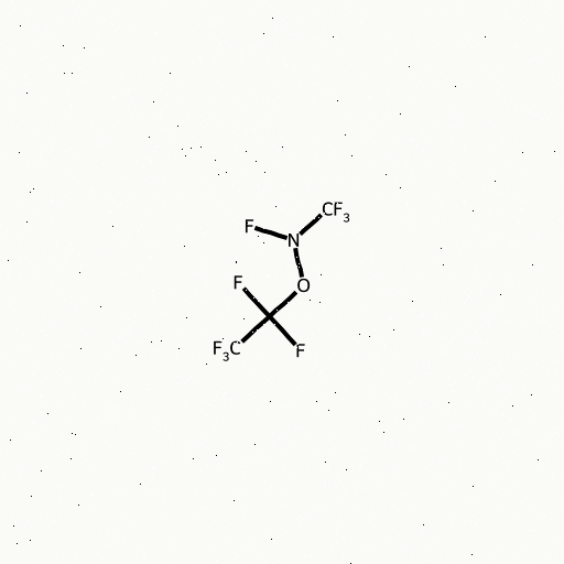 FN(OC(F)(F)C(F)(F)F)C(F)(F)F